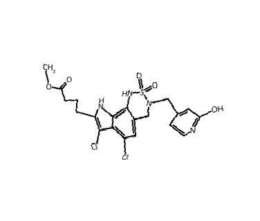 COC(=O)CCCc1[nH]c2c3c(cc(Cl)c2c1Cl)CN(Cc1ccnc(O)c1)S(=O)(=O)N3